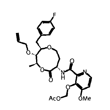 C=CCO[C@H]1[C@H](C)OC(=O)[C@@H](NC(=O)c2nccc(OC)c2OCOC(C)=O)CCO[C@@H]1Cc1ccc(F)cc1